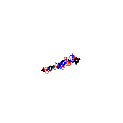 COc1cc(C)cc(C)c1CNC(=O)CS(=O)(=O)N1CCN(c2cnc(OCC3CCN(C(=O)OC4(C)CC4)CC3)cn2)C(=O)C1